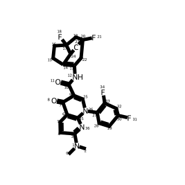 CN(C)c1ccc2c(=O)c(C(=O)NC3=C4CCC5(F)CC(F)(C3)CC45)cn(-c3ccc(F)cc3F)c2n1